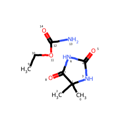 CC1(C)NC(=O)NC1=O.CCOC(N)=O